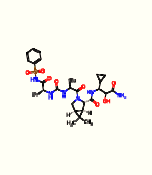 CC(C)[C@H](NC(=O)N[C@H](C(=O)N1C[C@H]2[C@@H]([C@H]1C(=O)NC(C1CC1)C(O)C(N)=O)C2(C)C)C(C)(C)C)C(=O)NS(=O)(=O)c1ccccc1